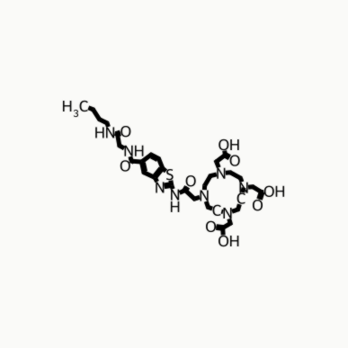 CCCCNC(=O)CNC(=O)c1ccc2sc(NC(=O)CN3CCN(CC(=O)O)CCN(CC(=O)O)CCN(CC(=O)O)CC3)nc2c1